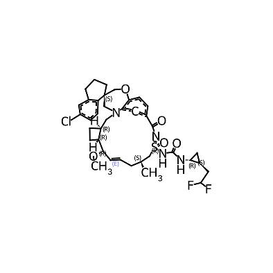 CO[C@H]1/C=C/C[C@H](C)C[S@@](=O)(NC(=O)N[C@@H]2C[C@H]2CC(F)F)=NC(=O)c2ccc3c(c2)N(C[C@@H]2CC[C@H]21)C[C@@]1(CCCc2cc(Cl)ccc21)CO3